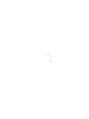 CC(=O)OOC(C)(CC(C)C)N=NC(C)(C)C